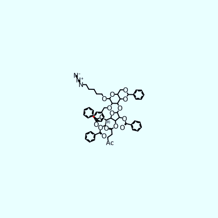 CC(=O)CCC(=O)OC1C(OC(=O)c2ccccc2)C(OC2C3OC(c4ccccc4)OCC3OC(OCCCCCN=[N+]=[N-])C2OCc2ccccc2)OC1[C@@H](COC(=O)c1ccccc1)OC(=O)c1ccccc1